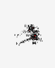 CCCCCCCCCCCCOC(=O)C(C(C)(OCC)OCC)(C(OCC)(OCC)C(=O)[O-])S(=O)(=O)OOCC.CCCCCCCCCCCCOC(=O)C(C(C)(OCC)OCC)(C(OCC)(OCC)C(=O)[O-])S(=O)(=O)OOCC.[Na+].[Na+]